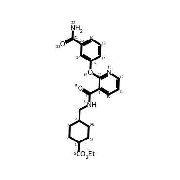 CCOC(=O)C1CCC(CNC(=O)c2cccnc2Oc2cccc(C(N)=O)c2)CC1